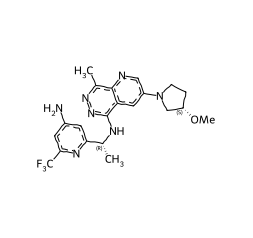 CO[C@H]1CCN(c2cnc3c(C)nnc(N[C@H](C)c4cc(N)cc(C(F)(F)F)n4)c3c2)C1